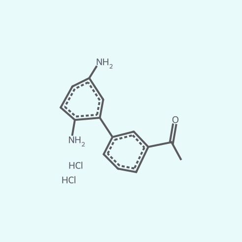 CC(=O)c1cccc(-c2cc(N)ccc2N)c1.Cl.Cl